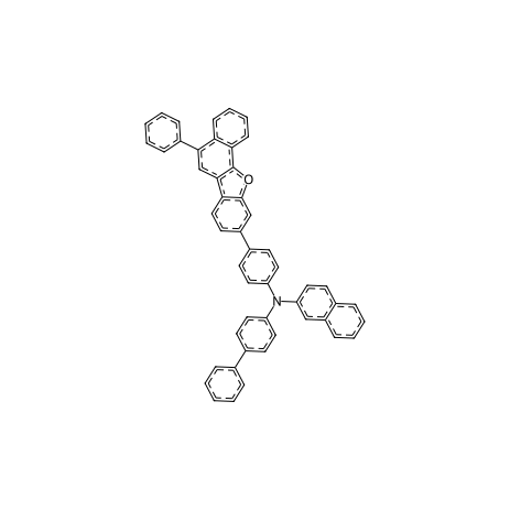 c1ccc(-c2ccc(N(c3ccc(-c4ccc5c(c4)oc4c6ccccc6c(-c6ccccc6)cc54)cc3)c3ccc4ccccc4c3)cc2)cc1